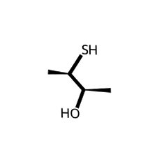 C[C@@H](O)[C@@H](C)S